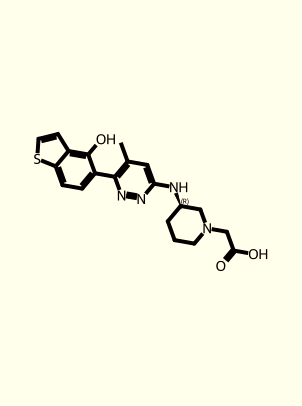 Cc1cc(N[C@@H]2CCCN(CC(=O)O)C2)nnc1-c1ccc2sccc2c1O